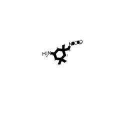 CC1(C)CC(N)CC(C)(CN=C=O)C1